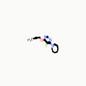 CC#CCOc1ncnc(N2CCCCCCC2)c1F